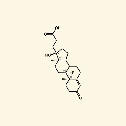 C[C@]12CCC(=O)C=C1CCC1C3CC[C@@](O)(CCC(=O)O)[C@@]3(C)CC[C@@]12F